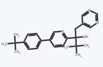 CC(C)(C)c1ccc(-c2ccc(C(O)(Cc3cncnc3)C(C)(C)C)nc2)cc1